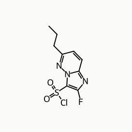 CCCc1ccc2nc(F)c(S(=O)(=O)Cl)n2n1